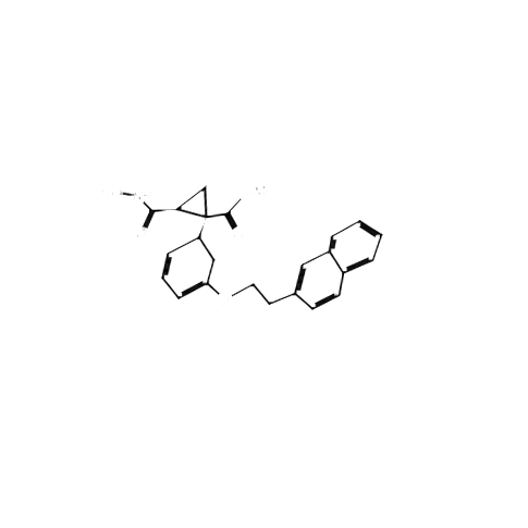 COC(=O)[C@@]1(C2C=CC=C(OCCc3ccc4ccccc4c3)C2)C[C@@H]1C(=O)NO